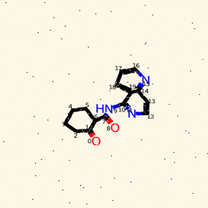 O=C1CCCCC1C(=O)Nc1nccc2ncccc12